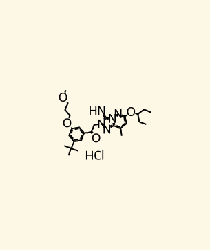 CCC(CC)Oc1cc(C)c2nn(CC(=O)c3cc(OCCCOC)cc(C(C)(C)C)c3)c(=N)n2n1.Cl